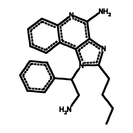 CCCCc1nc2c(N)nc3ccccc3c2n1C(CN)c1ccccc1